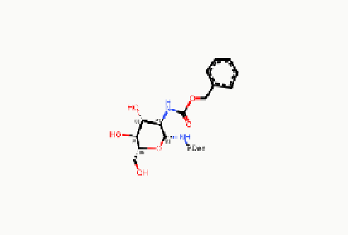 CCCCCCCCCCN[C@@H]1O[C@H](CO)[C@@H](O)[C@H](O)[C@H]1NC(=O)OCc1ccccc1